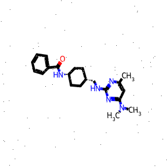 Cc1cc(N(C)C)nc(NC[C@H]2CC[C@@H](NC(=O)c3ccccc3)CC2)n1